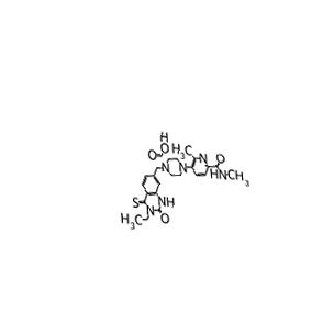 CCn1c(=O)[nH]c2cc(CN3CCN(c4ccc(C(=O)NC)nc4C)CC3)ccc2c1=S.O=CO